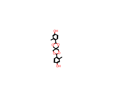 Cc1cc(O)ccc1C1OCC2(CO1)COC(c1ccc(O)cc1C)OC2